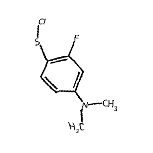 CN(C)c1ccc(SCl)c(F)c1